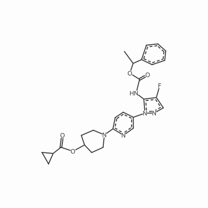 CC(OC(=O)Nc1c(F)cnn1-c1ccc(N2CCC(OC(=O)C3CC3)CC2)nc1)c1ccccc1